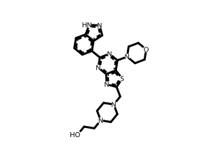 OCCN1CCN(Cc2nc3nc(-c4cccc5[nH]ncc45)nc(N4CCOCC4)c3s2)CC1